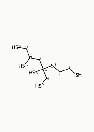 SCCSC(S)(CS)CC(S)CS